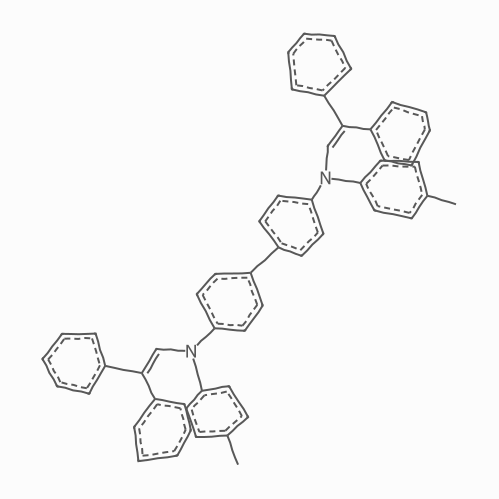 Cc1ccc(N(C=C(c2ccccc2)c2ccccc2)c2ccc(-c3ccc(N(C=C(c4ccccc4)c4ccccc4)c4ccc(C)cc4)cc3)cc2)cc1